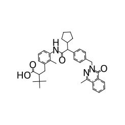 Cc1c(CC(C(=O)O)C(C)(C)C)cccc1NC(=O)C(c1ccc(Cn2nc(C)c3ccccc3c2=O)cc1)C1CCCC1